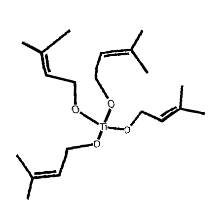 CC(C)=CC[O][Ti]([O]CC=C(C)C)([O]CC=C(C)C)[O]CC=C(C)C